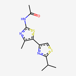 CC(=O)Nc1nc(C)c(-c2csc(C(C)C)n2)s1